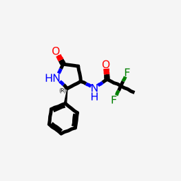 CC(F)(F)C(=O)NC1CC(=O)N[C@@H]1c1ccccc1